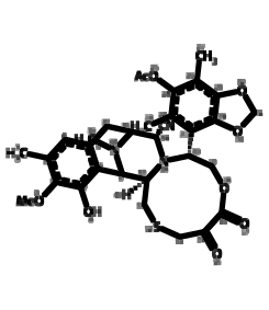 COc1c(C)cc2c(c1O)C1[C@@H]3CSCC(=O)C(=O)OC[C@@H](c4c(C)c(OC(C)=O)c(C)c5c4OCO5)N3[C@@H](C#N)C(C2)N1C